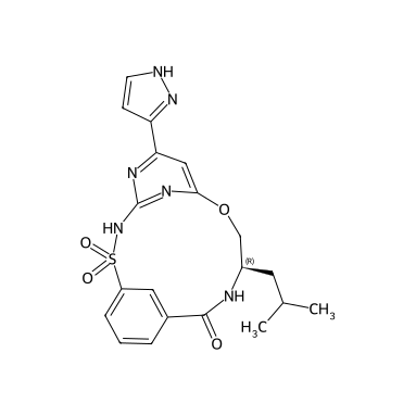 CC(C)C[C@@H]1COc2cc(-c3cc[nH]n3)nc(n2)NS(=O)(=O)c2cccc(c2)C(=O)N1